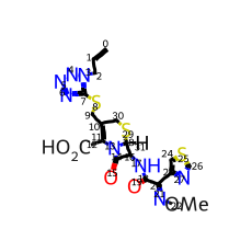 C=CCn1nnnc1SCC1=C(C(=O)O)N2C(=O)C(NC(=O)/C(=N/OC)c3cscn3)[C@H]2SC1